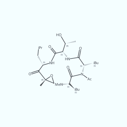 CC[C@H](C)[C@H](NC)C(=O)N(C(C)=O)[C@H](C(=O)N[C@H](C(=O)N[C@@H](CC(C)C)C(=O)[C@@]1(C)CO1)[C@@H](C)O)[C@@H](C)CC